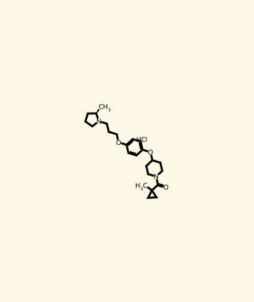 C[C@@H]1CCCN1CCCOc1ccc(OC2CCN(C(=O)C3(C)CC3)CC2)cc1.Cl